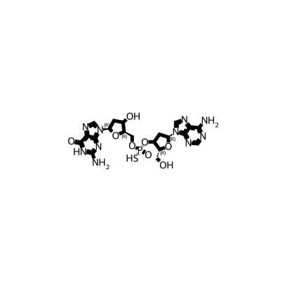 Nc1nc2c(ncn2[C@H]2CC(O)[C@@H](COP(=O)(S)OC3C[C@H](n4cnc5c(N)ncnc54)O[C@@H]3CO)O2)c(=O)[nH]1